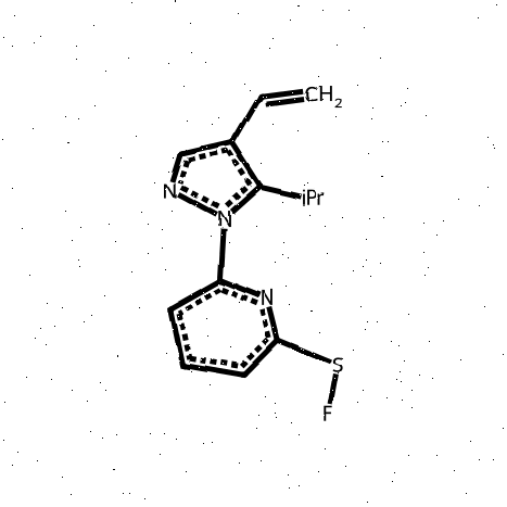 C=Cc1cnn(-c2cccc(SF)n2)c1C(C)C